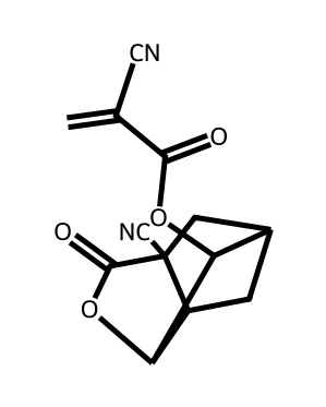 C=C(C#N)C(=O)OC1C2CC3C1OC(=O)C3(C#N)C2